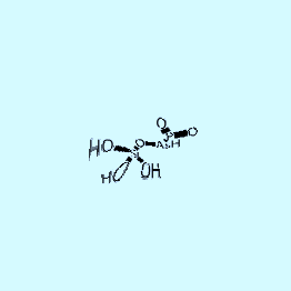 O=P(=O)[AsH]O[Si](O)(O)O